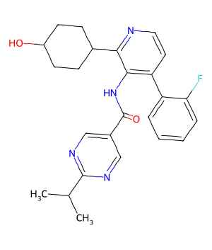 CC(C)c1ncc(C(=O)Nc2c(-c3ccccc3F)ccnc2C2CCC(O)CC2)cn1